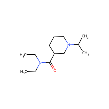 CCN(CC)C(=O)C1CCCN(C(C)C)C1